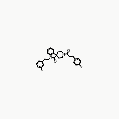 Cc1cccc(CCNC(=O)C2(c3ccccc3)CCN(C(=O)CCc3ccc(F)cc3)CC2)c1